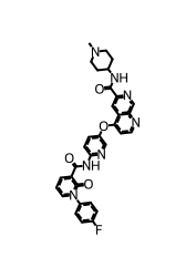 CN1CCC(NC(=O)c2cc3c(Oc4ccc(NC(=O)c5cccn(-c6ccc(F)cc6)c5=O)nc4)ccnc3cn2)CC1